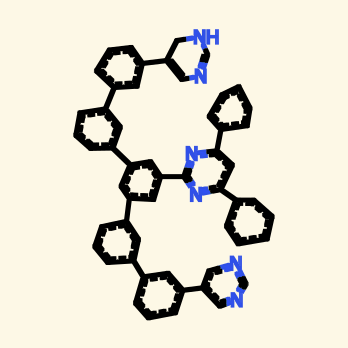 C1=NC=C(c2cccc(-c3cccc(-c4cc(-c5cccc(-c6cccc(-c7cncnc7)c6)c5)cc(-c5nc(-c6ccccc6)cc(-c6ccccc6)n5)c4)c3)c2)CN1